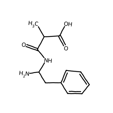 CC(C(=O)O)C(=O)NC(N)Cc1ccccc1